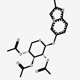 CC(=O)O[C@@H]1[C@@H](OC(C)=O)[C@H](OC(C)=O)CS[C@H]1Oc1ccc2nc(C)cn2c1